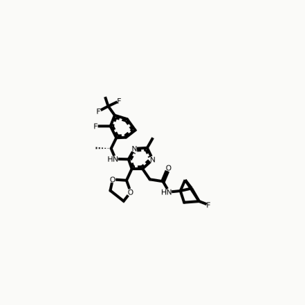 Cc1nc(CC(=O)NC23CC4(F)C2C43)c(C2OCCO2)c(N[C@H](C)c2cccc(C(C)(F)F)c2F)n1